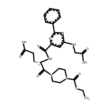 CCOC(=O)N1CCN(C(=O)[C@H](CCC(=O)O)NC(=O)c2cc(NCC(=O)O)nc(-c3ccccc3)n2)CC1